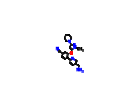 Cn1nc(N2CCCCC2)cc1Oc1cc(C#N)ccc1-c1ccc(CN)cn1